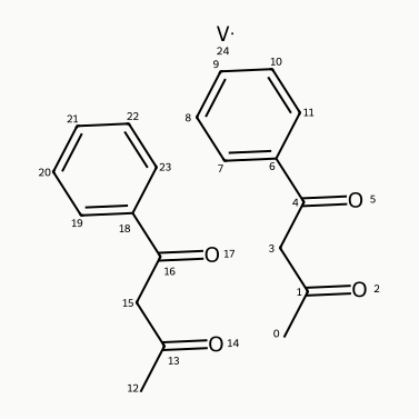 CC(=O)CC(=O)c1ccccc1.CC(=O)CC(=O)c1ccccc1.[V]